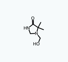 CC1(C)C(=O)NCN1CO